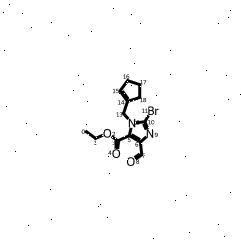 CCOC(=O)c1c(C=O)nc(Br)n1CC1=CCCC1